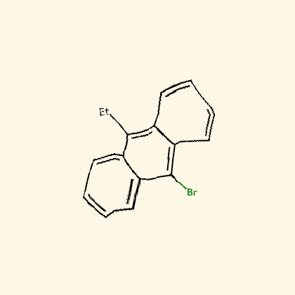 CCc1c2ccccc2c(Br)c2ccccc12